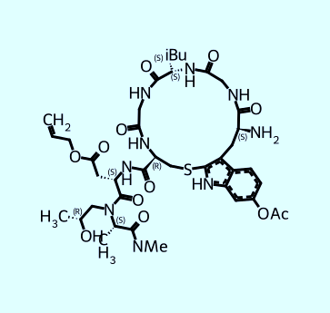 C=CCOC(=O)C[C@H](NC(=O)[C@@H]1CSc2[nH]c3cc(OC(C)=O)ccc3c2C[C@H](N)C(=O)NCC(=O)N[C@@H]([C@@H](C)CC)C(=O)NCC(=O)N1)C(=O)N(C[C@@H](C)O)[C@@H](C)C(=O)NC